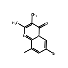 Cc1nc2c(I)cc(Br)cn2c(=O)c1C